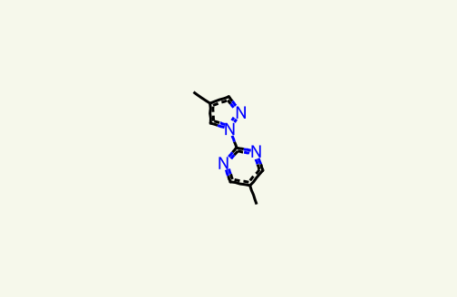 Cc1cnc(-n2cc(C)cn2)nc1